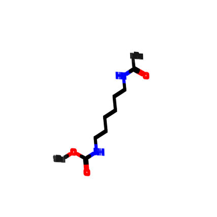 CCCCC(=O)NCCCCCCNC(=O)OC(C)(C)C